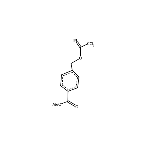 COC(=O)c1ccc(COC(=N)C(Cl)(Cl)Cl)cc1